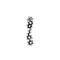 CS(=O)(=O)N1CCc2cc(OCCCC3CCN(c4ccncn4)CC3)ccc2C1